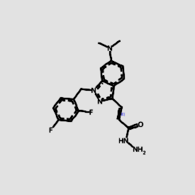 CN(C)c1ccc2c(/C=C/C(=O)NN)nn(Cc3ccc(F)cc3F)c2c1